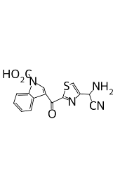 N#CC(N)c1csc(C(=O)c2cn(C(=O)O)c3ccccc23)n1